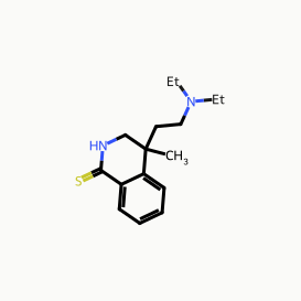 CCN(CC)CCC1(C)CNC(=S)c2ccccc21